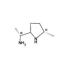 C[C@H]1CCC([C@@H](C)N)N1